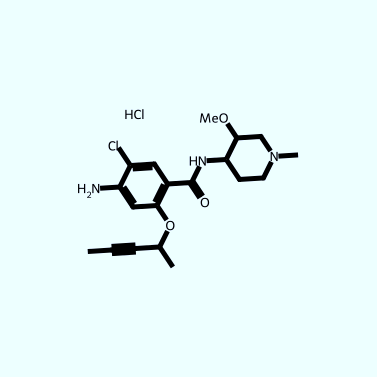 CC#CC(C)Oc1cc(N)c(Cl)cc1C(=O)NC1CCN(C)CC1OC.Cl